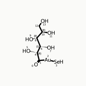 O=[C]([Au][SeH])[C@H](O)[C@@H](O)[C@H](O)[C@H](O)CO